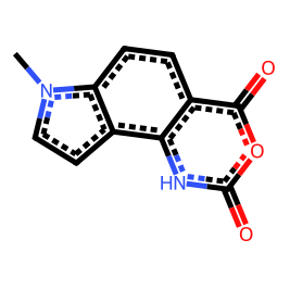 Cn1ccc2c3[nH]c(=O)oc(=O)c3ccc21